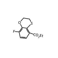 CCOC(=O)c1ccc(F)c2c1SCCO2